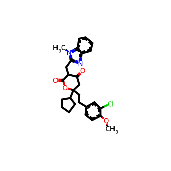 COc1ccc(CCC2(C3CCCC3)CC(=O)C(Cc3nc4ccccc4n3C)C(=O)O2)cc1Cl